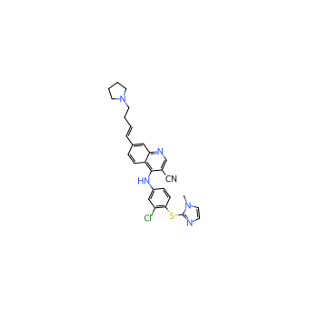 Cn1ccnc1Sc1ccc(Nc2c(C#N)cnc3cc(C=CCCN4CCCC4)ccc23)cc1Cl